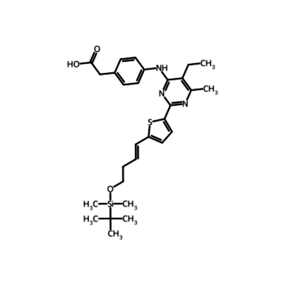 CCc1c(C)nc(-c2ccc(/C=C/CCO[Si](C)(C)C(C)(C)C)s2)nc1Nc1ccc(CC(=O)O)cc1